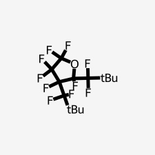 CC(C)(C)C(F)(F)C1(F)OC(F)(F)C(F)(F)C1(F)C(F)(F)C(C)(C)C